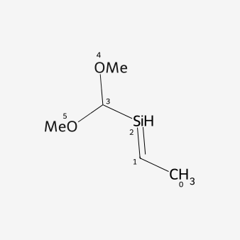 CC=[SiH]C(OC)OC